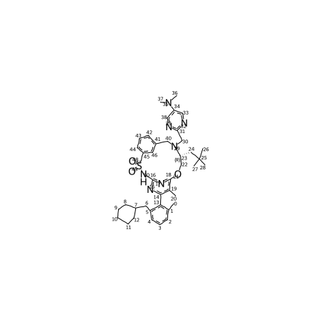 Cc1cccc(CC2CCCCC2)c1-c1nc2nc(c1C)OC[C@@H](CC(C)(C)C)N(Cc1ncc(N(C)C)cn1)Cc1cccc(c1)S(=O)(=O)N2